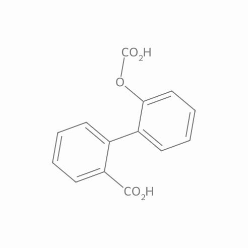 O=C(O)Oc1ccccc1-c1ccccc1C(=O)O